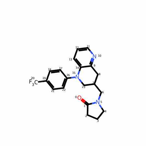 O=C1CCCN1CC1Cc2ncccc2N(c2ccc(C(F)(F)F)cc2)C1